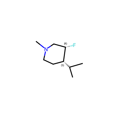 CC(C)[C@@H]1CCN(C)C[C@@H]1F